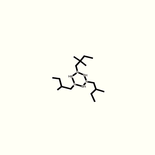 CCC(C)CN1BN(CC(C)CC)BN(CC(C)(C)CC)B1